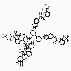 Cn1c(=O)n(C2CCC(=O)NC2=O)c2cccc(C3CCN(C[C@H]4CC[C@H](n5cc6cc(NC(=O)c7cccc(C(F)(F)F)n7)ccc6n5)CC4C4C[C@H](n5cc6cc(NC(=O)c7cccc(C(F)(F)F)n7)ccc6n5)CC[C@H]4CN4CC[C@H](c5cccc6c5n(C)c(=O)n6C5CCC(=O)NC5=O)[C@@H](O)C4)CC3(F)F)c21